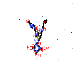 COCCCCN1CCN(C(=O)CCCN2C(=O)CC(SC(CCCCCNC(=O)CCCc3ccc(C)cc3)CNC(=O)CN3CCN(CC(=O)O)CCN(CC(=O)O)CCN(CC(=O)O)CC3)C2=O)CC1